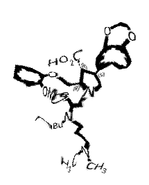 CCCCN(CCCN(C)C)C(=O)CN1C[C@H](c2ccc3c(c2)OCO3)[C@@H](C(=O)O)[C@@H]1COc1ccccc1OC